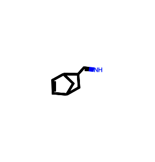 N=CC1CC2C=CC1C2